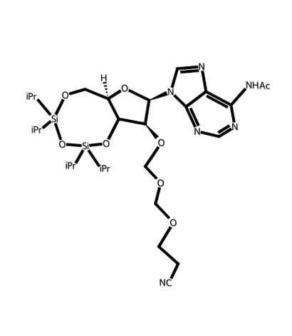 CC(=O)Nc1ncnc2c1ncn2[C@@H]1O[C@@H]2CO[Si](C(C)C)(C(C)C)O[Si](C(C)C)(C(C)C)OC2[C@@H]1OCOCOCCC#N